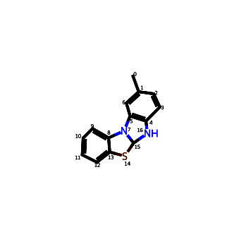 Cc1ccc2c(c1)N1c3ccccc3SC1N2